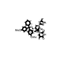 COc1ccc(C(OC[C@@]23CN(c4nc(C)n(C)n4)[C@@H]([C@H](n4cc(C)c(=O)[nH]c4=O)O2)[C@@H]3CC(=O)O)(c2ccccc2)c2ccc(OC)cc2)cc1